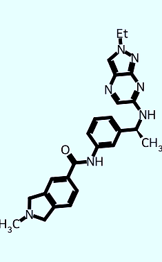 CCn1cc2ncc(N[C@@H](C)c3cccc(NC(=O)c4ccc5c(c4)CN(C)C5)c3)nc2n1